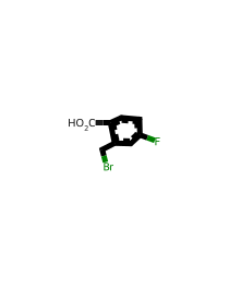 O=C(O)c1ccc(F)cc1CBr